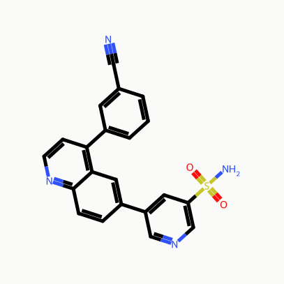 N#Cc1cccc(-c2ccnc3ccc(-c4cncc(S(N)(=O)=O)c4)cc23)c1